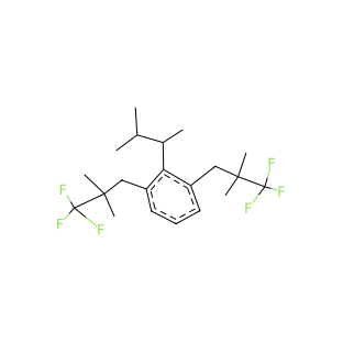 CC(C)C(C)c1c(CC(C)(C)C(F)(F)F)cccc1CC(C)(C)C(F)(F)F